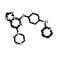 c1ccc(NC2CCC(Oc3nc(N4CCOCC4)cc4ncnn34)CC2)nc1